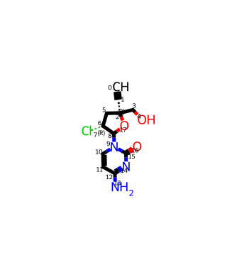 C#C[C@@]1(CO)C[C@@H](Cl)C(n2ccc(N)nc2=O)O1